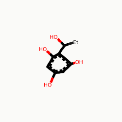 CCC(O)c1c(O)cc(O)cc1O